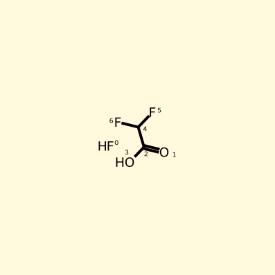 F.O=C(O)C(F)F